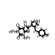 CCCn1c(=O)c2[nH]c(-c3c[nH]nc3Cc3ccc(F)cc3)nc2n(CCC)c1=O